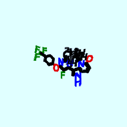 [2H]C([2H])([2H])C([2H])([2H])n1c(=O)ccc2[nH]cc(-c3nc(C)nc(OC4CCC(C(F)(F)F)CC4)c3F)c21